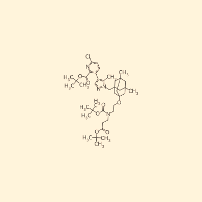 Cc1c(-c2ccc(Cl)nc2C(=O)OC(C)(C)C)cnn1CC12CC3(C)CC(C)(C1)CC(OCCN(CCC(=O)OC(C)(C)C)C(=O)OC(C)(C)C)(C3)C2